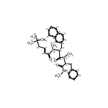 CNC(=O)[C@H](Cc1ccccc1)N(C)C(=O)[C@H](Cc1ccc2ccccc2c1)N(C)C(=O)/C=C/CC(C)(C)N